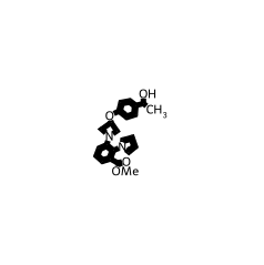 COC(=O)c1cccc(N2CC(Oc3ccc(C(C)O)cc3)C2)c1-n1cccc1